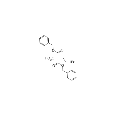 CC(C)CCC(C(=O)O)(C(=O)OCc1ccccc1)C(=O)OCc1ccccc1